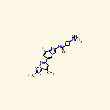 Cc1nc2c(C)cc(-c3cc(F)c4nc(NC(=O)C5CC(N(C)C)C5)cn4c3)nn2n1